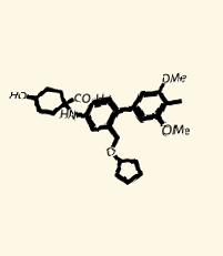 COc1cc(-c2ccc(NC3(C(=O)O)CCC(O)CC3)cc2COC2CCCC2)cc(OC)c1C